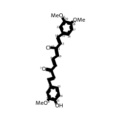 COc1cc(/C=C/C(=O)/C=C/C=C(Cl)/C=C/c2ccc(OC)c(OC)c2)ccc1O